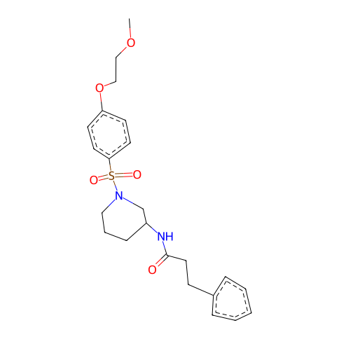 COCCOc1ccc(S(=O)(=O)N2CCCC(NC(=O)CCc3ccccc3)C2)cc1